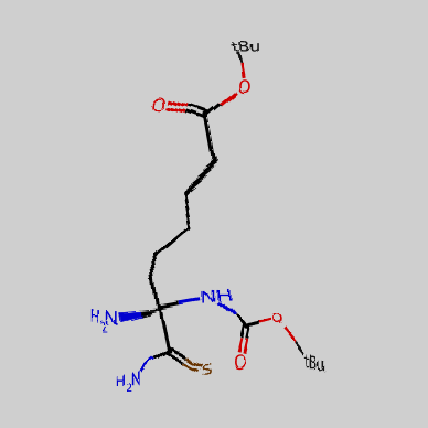 CC(C)(C)OC(=O)CCCC[C@](N)(NC(=O)OC(C)(C)C)C(N)=S